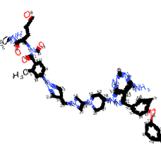 CNC(=O)C(CCC=O)N(C=O)C(=O)c1ccc(N2CC(CN3CC(N4CCC(n5nc(-c6ccc(Oc7ccccc7)cc6)c6c(N)ncnc65)CC4)C3)C2)cc1C